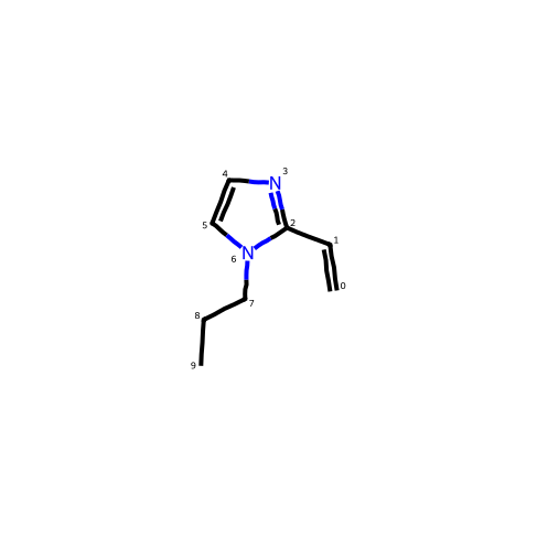 C=Cc1nccn1CCC